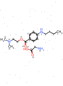 CCCCNc1ccc(C(=O)OCCN(C)C)cc1.NCC(=O)O